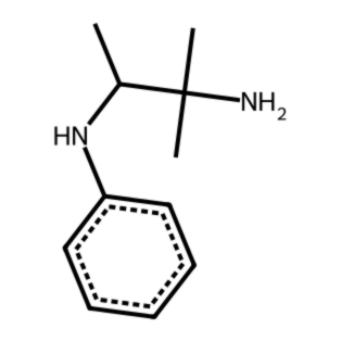 CC(Nc1ccccc1)C(C)(C)N